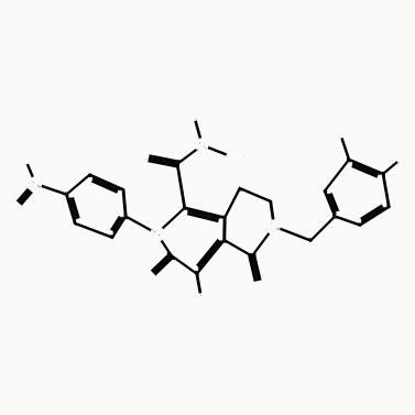 CN(C)C(=O)c1c2c(c(O)c(=O)n1-c1ccc([N+](=O)[O-])cc1)C(=O)N(Cc1ccc(F)c(Cl)c1)CC2